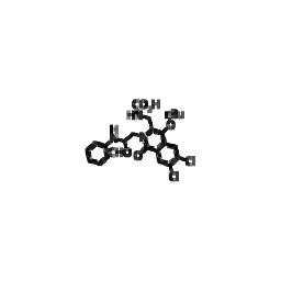 CCCCOc1c(CNC(=O)O)n(CC(C=O)Nc2ccccc2)c(=O)c2cc(Cl)c(Cl)cc12